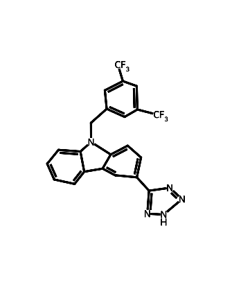 FC(F)(F)c1cc(Cn2c3ccccc3c3cc(-c4nn[nH]n4)ccc32)cc(C(F)(F)F)c1